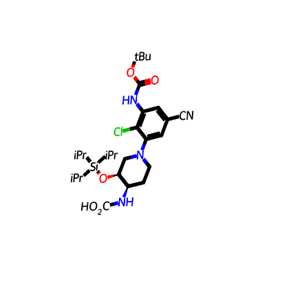 CC(C)[Si](O[C@H]1CN(c2cc(C#N)cc(NC(=O)OC(C)(C)C)c2Cl)CC[C@H]1NC(=O)O)(C(C)C)C(C)C